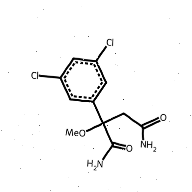 COC(CC(N)=O)(C(N)=O)c1cc(Cl)cc(Cl)c1